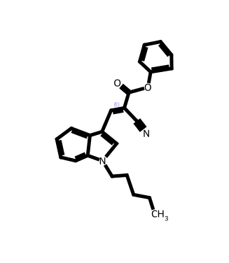 CCCCCn1cc(/C=C(\C#N)C(=O)Oc2ccccc2)c2ccccc21